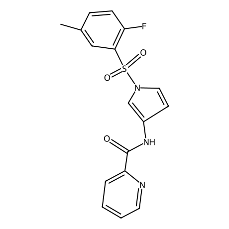 Cc1ccc(F)c(S(=O)(=O)n2ccc(NC(=O)c3ccccn3)c2)c1